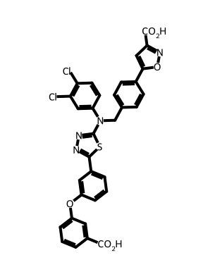 O=C(O)c1cccc(Oc2cccc(-c3nnc(N(Cc4ccc(-c5cc(C(=O)O)no5)cc4)c4ccc(Cl)c(Cl)c4)s3)c2)c1